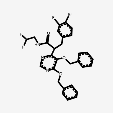 O=C(NCC(F)F)C(Cc1ccc(Br)c(F)c1)c1ncnc(OCc2ccccc2)c1OCc1ccccc1